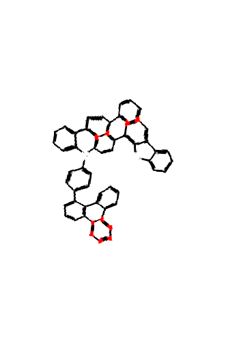 c1ccc(-c2ccc(-c3ccccc3N(c3ccc(-c4cccc(-c5ccccc5)c4-c4ccccc4-c4ccccc4)cc3)c3ccc(-c4cccc5c4oc4ccccc45)cc3)cc2)cc1